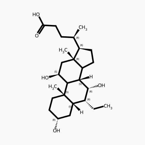 CC[C@H]1[C@@H](O)[C@H]2C3CC[C@H]([C@H](C)CCC(=O)O)[C@@]3(C)C[C@H](O)C2[C@@]2(C)CC[C@@H](O)C[C@@H]12